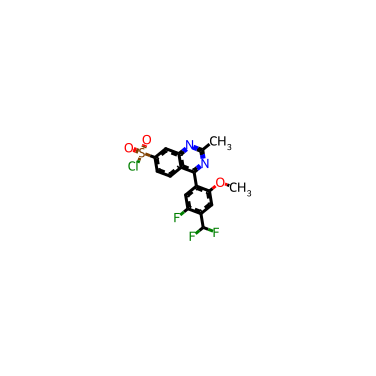 COc1cc(C(F)F)c(F)cc1-c1nc(C)nc2cc(S(=O)(=O)Cl)ccc12